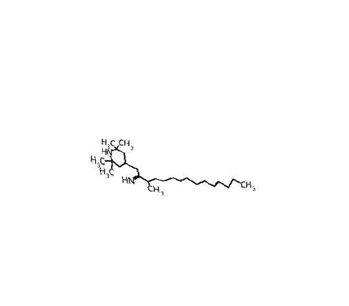 CCCCCCCCCCCCC(C)C(=N)CC1CC(C)(C)NC(C)(C)C1